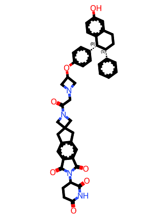 O=C1CCC(N2C(=O)c3cc4c(cc3C2=O)CC2(C4)CN(C(=O)CN3CC(Oc4ccc([C@@H]5c6ccc(O)cc6CC[C@@H]5c5ccccc5)cc4)C3)C2)C(=O)N1